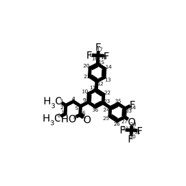 CCC(C)CC(C(=O)O)c1cc(-c2ccc(C(F)(F)F)cc2)cc(-c2ccc(OC(F)(F)F)c(F)c2)c1